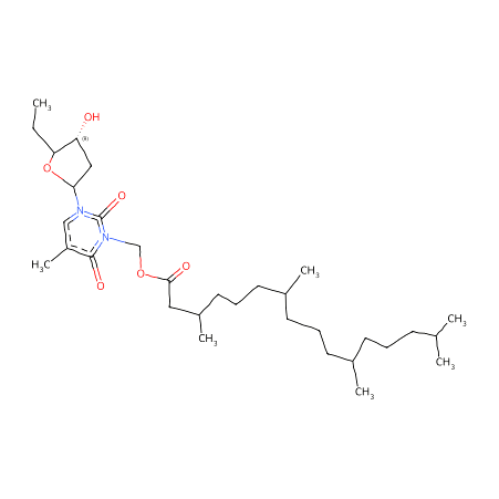 CCC1OC(n2cc(C)c(=O)n(COC(=O)CC(C)CCCC(C)CCCC(C)CCCC(C)C)c2=O)C[C@H]1O